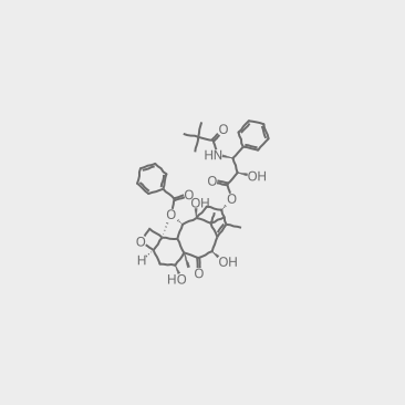 CC1=C2[C@@H](O)C(=O)[C@@]3(C)C([C@H](OC(=O)c4ccccc4)[C@](O)(C[C@@H]1OC(=O)[C@H](O)[C@@H](NC(=O)C(C)(C)C)c1ccccc1)C2(C)C)[C@]1(C)CO[C@@H]1C[C@@H]3O